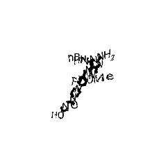 CCCCNc1nc(N)nc2cnn(Cc3cc(F)c(N4CCN(C(=O)CN5CC(O)C5)CC4)cc3OC)c12